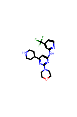 FC(F)(F)c1ccnc(Nc2cc(C3CCNCC3)nc(N3CCOCC3)n2)c1